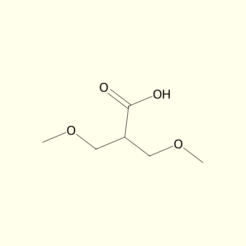 COCC(COC)C(=O)O